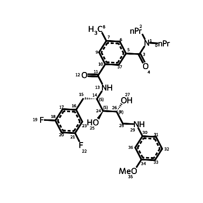 CCCN(CCC)C(=O)c1cc(C)cc(C(=O)N[C@@H](Cc2cc(F)cc(F)c2)[C@H](O)[C@H](O)CNc2cccc(OC)c2)c1